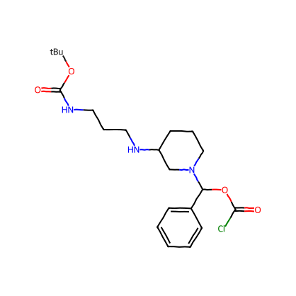 CC(C)(C)OC(=O)NCCCNC1CCCN(C(OC(=O)Cl)c2ccccc2)C1